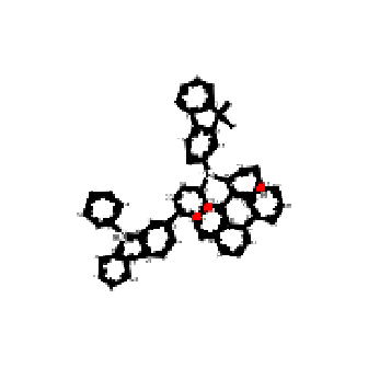 CC1(C)c2ccccc2-c2ccc(N(c3ccc(-c4ccc5c6ccccc6n(-c6ccccc6)c5c4)cc3)c3ccccc3-c3cccc4cccc(-c5ccccc5)c34)cc21